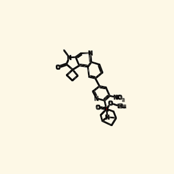 CN1C(=O)C2(CCC2)c2c1cnc1ccc(-c3cnc(N4CC5CC(C4)N5C(=O)OC(C)(C)C)c([N+](=O)[O-])c3)cc21